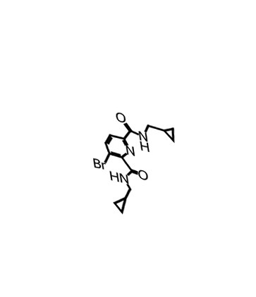 O=C(NCC1CC1)c1ccc(Br)c(C(=O)NCC2CC2)n1